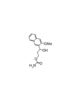 COc1cc2ccccc2cc1C(O)CCOC(N)=O